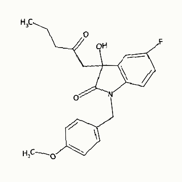 CCCC(=O)CC1(O)C(=O)N(Cc2ccc(OC)cc2)c2ccc(F)cc21